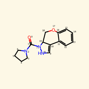 O=C(N1CCCC1)N1NC=C2c3ccccc3OCC21